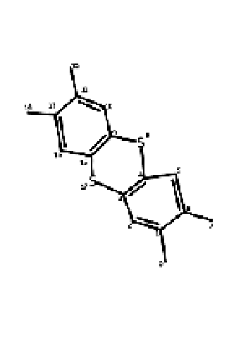 Cc1cc2c(cc1C)Sc1cc(C)c(C)cc1S2